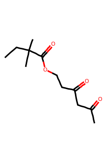 CCC(C)(C)C(=O)OCCC(=O)CC(C)=O